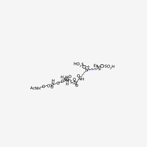 CC[N+]1=C(/C=C/C=C/C=C2/N(CCCCCC(=O)NCCN3C(=O)CC(SC[C@@H](NC(=O)COCCOCCNC(=O)COCCOCCNC(C)=O)C(N)=O)C3=O)c3ccc(S(=O)(=O)O)cc3C2(C)C)C(C)(C)c2cc(S(=O)(=O)O)ccc21